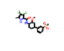 COC1C=C(c2cccc(S(C)(=O)=O)c2)CCC1NC(=O)c1[nH]c(C)c(Cl)c1Cl